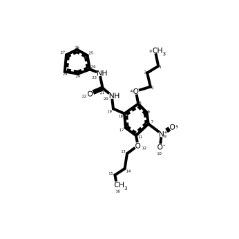 CCCCOc1cc([N+](=O)[O-])c(OCCCC)cc1CNC(=O)Nc1ccccc1